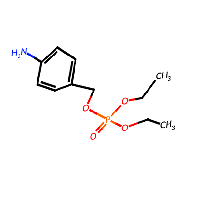 CCOP(=O)(OCC)OCc1ccc(N)cc1